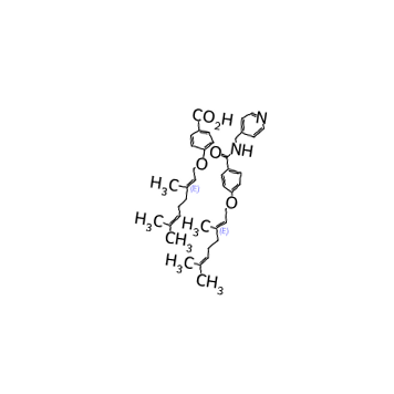 CC(C)=CCC/C(C)=C/COc1ccc(C(=O)NCc2ccncc2)cc1.CC(C)=CCC/C(C)=C/COc1ccc(C(=O)O)cc1